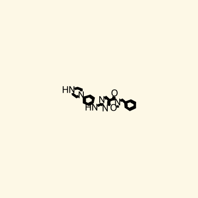 O=C1c2cnc(Nc3ccc(N4CCNCC4)cc3)nc2OCN1Cc1ccccc1